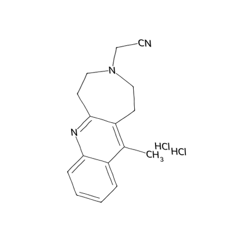 Cc1c2c(nc3ccccc13)CCN(CC#N)CC2.Cl.Cl